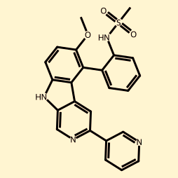 COc1ccc2[nH]c3cnc(-c4cccnc4)cc3c2c1-c1ccccc1NS(C)(=O)=O